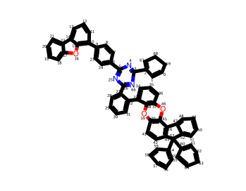 C1=CC(c2nc(-c3ccc(-c4cccc5c4oc4ccccc45)cc3)nc(-c3ccccc3-c3cccc4c3Oc3ccc5c(c3O4)-c3ccccc3C5(c3ccccc3)c3ccccc3)n2)=CCC1